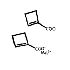 O=C([O-])C1=CCC1.O=C([O-])C1=CCC1.[Mg+2]